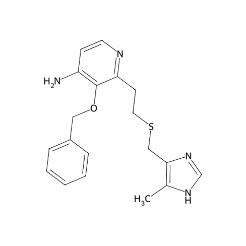 Cc1[nH]cnc1CSCCc1nccc(N)c1OCc1ccccc1